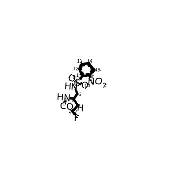 O=C(O)NC(CCF)CNS(=O)(=O)c1ccccc1[N+](=O)[O-]